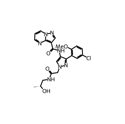 COc1ccc(Cl)cc1-c1nn(CC(=O)NC[C@@H](C)O)cc1NC(=O)c1cnn2cccnc12